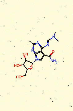 Cc1nc(/N=C/N(C)C)c2c(C(N)=O)cn([C@@H]3OC(CO)[C@@H](O)[C@H]3O)c2n1